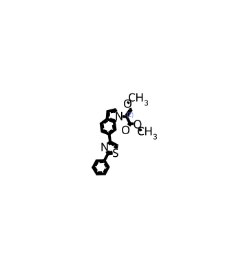 CO/C=C(/C(=O)OC)n1ccc2ccc(-c3csc(-c4ccccc4)n3)cc21